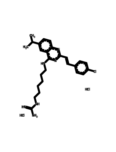 CC(C)c1ccc2nc(C=Cc3ccc(Cl)cc3)nc(NCCCCCCNC(=N)N)c2c1.Cl.Cl